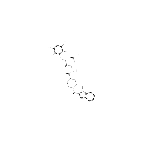 Cn1c(C(=O)N2CCC(C(=O)N[C@@H](CC(=O)O)C(=O)COc3c(F)c(F)cc(F)c3F)CC2)cc2ccccc21